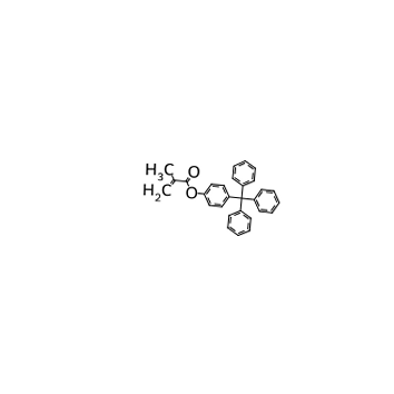 C=C(C)C(=O)Oc1ccc(C(c2ccccc2)(c2ccccc2)c2ccccc2)cc1